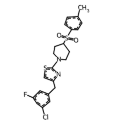 Cc1ccc(S(=O)(=O)C2CCN(c3nc(Cc4cc(F)cc(Cl)c4)cs3)CC2)cc1